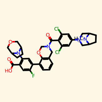 CN1C2CCC1CN(c1cc(Cl)c(C(=O)N3COc4c(cccc4-c4cc(N5C6CCC5COC6)c(C(=O)O)cc4F)C3)c(Cl)c1)C2